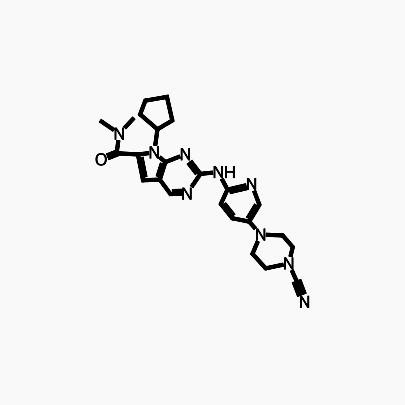 CN(C)C(=O)c1cc2cnc(Nc3ccc(N4CCN(C#N)CC4)cn3)nc2n1C1CCCC1